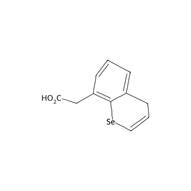 O=C(O)Cc1cccc2c1[Se]C=CC2